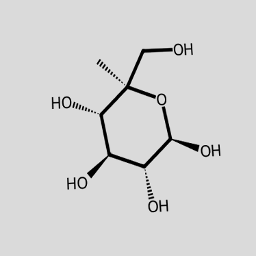 C[C@]1(CO)O[C@@H](O)[C@H](O)[C@@H](O)[C@@H]1O